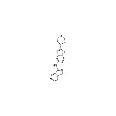 c1ccc2c(Nc3ccc4oc(N5CCOCC5)nc4c3)n[nH]c2c1